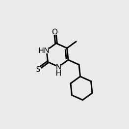 Cc1c(CC2CCCCC2)[nH]c(=S)[nH]c1=O